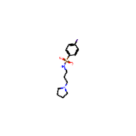 O=S(=O)(NCCCN1CCCC1)c1ccc(I)cc1